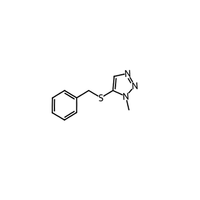 Cn1nncc1SCc1ccccc1